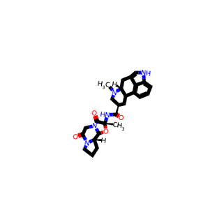 CN1C[C@H](C(=O)N[C@]2(C)OC3[C@@H]4CCCN4C(=O)CN3C2=O)CC2c3cccc4[nH]cc(c34)C[C@H]21